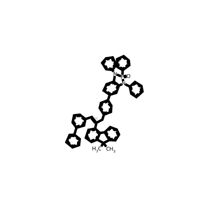 CC1(C)c2ccccc2-c2c(/C(=C\c3cccc(-c4ccccc4)c3)Cc3ccc(-c4ccc5c(c4)N(c4ccccc4)P(=O)(c4ccccc4)N5c4ccccc4)cc3)cccc21